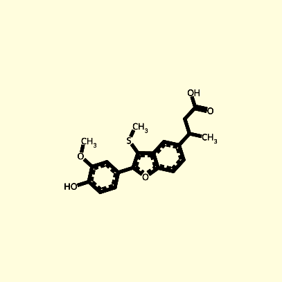 COc1cc(-c2oc3ccc(C(C)CC(=O)O)cc3c2SC)ccc1O